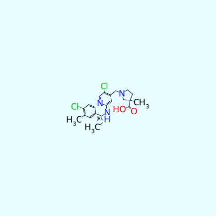 CC[C@@H](Nc1cc(CN2CCC(C)(C(=O)O)C2)c(Cl)cn1)c1ccc(Cl)c(C)c1